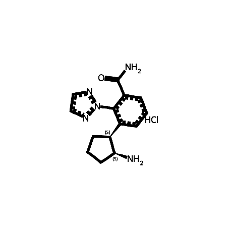 Cl.NC(=O)c1cccc([C@@H]2CCC[C@@H]2N)c1-n1nccn1